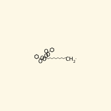 [CH2]CCCCCCCCCC[C](OOC(=O)c1ccccc1)OOC(=O)c1ccccc1